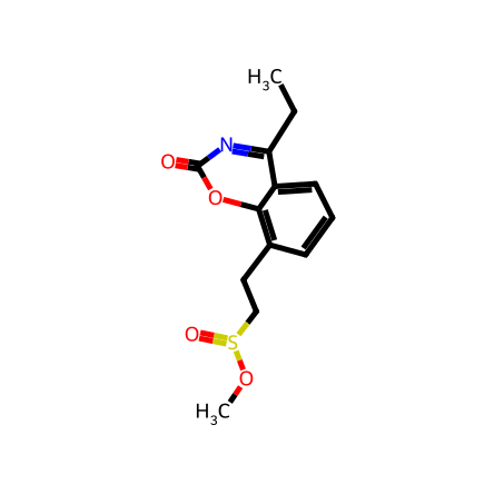 CCc1nc(=O)oc2c(CCS(=O)OC)cccc12